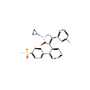 NS(=O)(=O)c1ccc(-c2ccccc2C2=C(c3cccc(Cl)c3)CN(C3CC3)C2=O)cc1